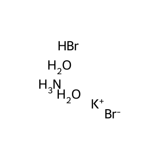 Br.N.O.O.[Br-].[K+]